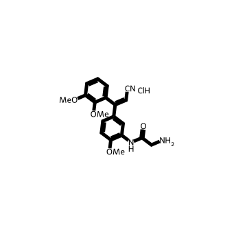 COc1ccc(C(=CC#N)c2cccc(OC)c2OC)cc1NC(=O)CN.Cl